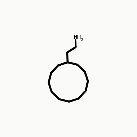 NCCC1CCCCCCCCCCC1